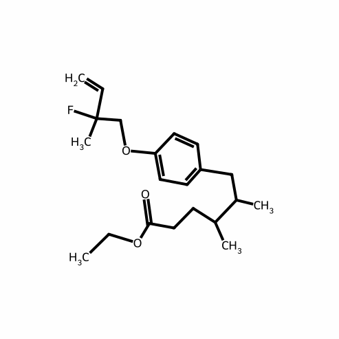 C=CC(C)(F)COc1ccc(CC(C)C(C)CCC(=O)OCC)cc1